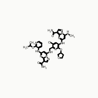 CNc1cc(Nc2cc(Cl)c(CNc3cc(Nc4cccnc4OC(C)C)nc4c(C(N)=O)cnn34)nc2OC2CCOC2)nc2c(C(N)=O)cnn12